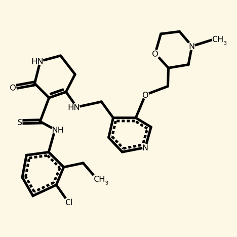 CCc1c(Cl)cccc1NC(=S)C1=C(NCc2ccncc2OCC2CN(C)CCO2)CCNC1=O